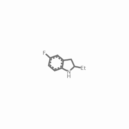 CCC1Cc2cc(F)ccc2N1